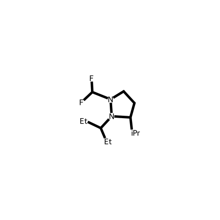 CCC(CC)N1C(C(C)C)CCN1C(F)F